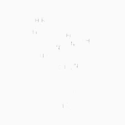 Bc1cc(Br)c(-n2c(C)c(C)c3c(N4CCC(CCCO)CC4)cc(C)nc32)cc1Br